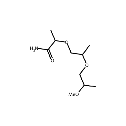 COC(C)COC(C)COC(C)C(N)=O